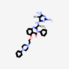 C[C@H](Nc1nc(N)nc(N)c1C#N)c1nc2cccc(OCCN3CCN(c4ccccc4)CC3)c2c(=O)n1-c1ccccc1